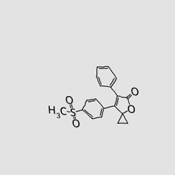 CS(=O)(=O)c1ccc(C2=C(c3ccccc3)C(=O)OC23CC3)cc1